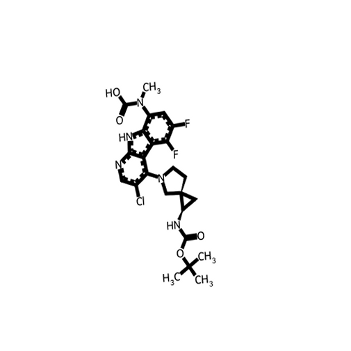 CN(C(=O)O)c1cc(F)c(F)c2c1[nH]c1ncc(Cl)c(N3CC[C@]4(C[C@H]4NC(=O)OC(C)(C)C)C3)c12